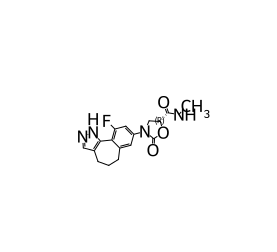 CNC(=O)[C@H]1CN(c2cc(F)c3c(c2)CCCc2cn[nH]c2-3)C(=O)O1